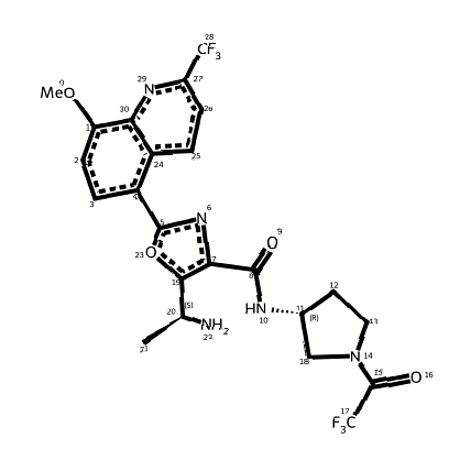 COc1ccc(-c2nc(C(=O)N[C@@H]3CCN(C(=O)C(F)(F)F)C3)c([C@H](C)N)o2)c2ccc(C(F)(F)F)nc12